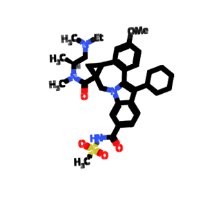 CCN(C)C[C@H](C)N(C)C(=O)C12CC1c1cc(OC)ccc1-c1c(C3CCCCC3)c3ccc(C(=O)NS(C)(=O)=O)cc3n1C2